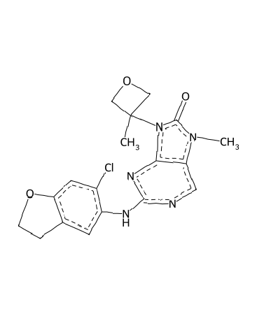 Cn1c(=O)n(C2(C)COC2)c2nc(Nc3cc4c(cc3Cl)OCC4)ncc21